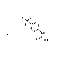 CCS(=O)(=O)c1ccc(NC(N)=O)cc1